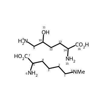 CNCCCCC(N)C(=O)O.NCC(O)CCC(N)C(=O)O